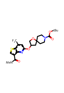 CNC(=O)c1csc2c(C(F)(F)F)cc(OC3COC4(CCN(C(=O)OC(C)(C)C)CC4)C3)nc12